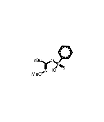 CCCCC(=NOC)OP(O)(=S)c1ccccc1